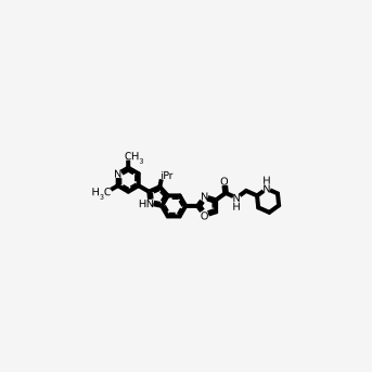 Cc1cc(-c2[nH]c3ccc(-c4nc(C(=O)NCC5CCCCN5)co4)cc3c2C(C)C)cc(C)n1